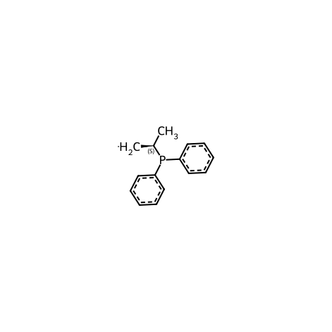 [CH2][C@@H](C)P(c1ccccc1)c1ccccc1